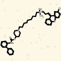 C[N+](C)(CC/C=C1\c2ccccc2Sc2ccc(Cl)cc21)CCCCCCCCCN1CCC(OC(=O)Nc2ccccc2-c2ccccc2)CC1